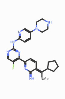 CN/C(=C1/C=CC(c2nc(Nc3ccc(N4CCNCC4)cn3)ncc2F)=NC1=N)C1CCCC1